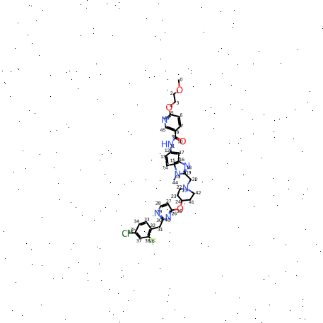 COCCOc1ccc(C(=O)Nc2ccc3c(c2)nc(CN2CCC(Oc4ccnc(Cc5ccc(Cl)cc5F)n4)CC2)n3C)cn1